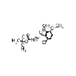 CCOc1ccc(Cl)c2c1B(O)O[C@H]2CCNC(=O)OC(C)(C)C